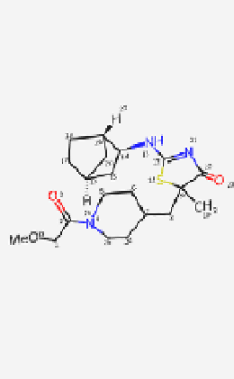 COCC(=O)N1CCC(CC2(C)SC(N[C@H]3C[C@H]4CC[C@H]3C4)=NC2=O)CC1